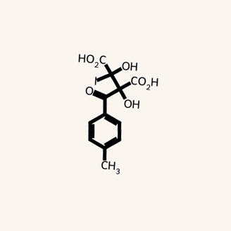 Cc1ccc(C(=O)C(O)(C(=O)O)C(O)(I)C(=O)O)cc1